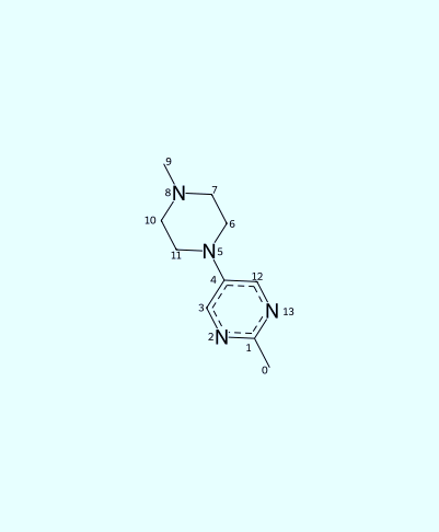 Cc1ncc(N2CCN(C)CC2)cn1